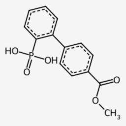 COC(=O)c1ccc(-c2ccccc2P(=O)(O)O)cc1